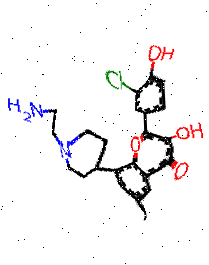 Cc1cc(C2CCN(CCN)CC2)c2oc(-c3ccc(O)c(Cl)c3)c(O)c(=O)c2c1